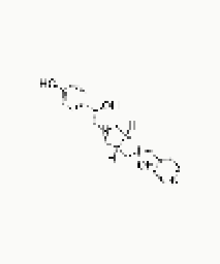 Oc1ccc(C(O)CN2C[C@@H]3C[C@](O)(Cc4ccncc4)C[C@@H]3C2)cc1